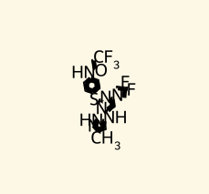 Cc1cc(Nc2cc(N3CC(F)(F)C3)nc(Sc3ccc(NC(=O)CC(F)(F)F)cc3)n2)[nH]n1